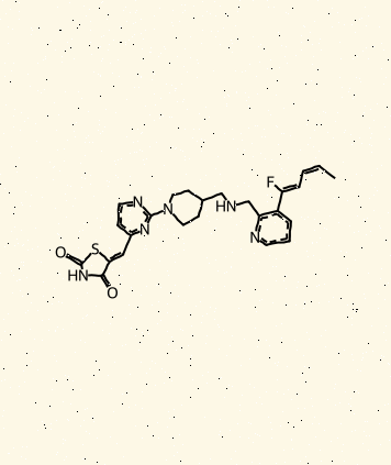 C/C=C\C=C(/F)c1cccnc1CNCC1CCN(c2nccc(/C=C3\SC(=O)NC3=O)n2)CC1